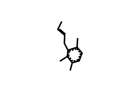 [CH2]C=CCc1c(C)ccc(C)c1C